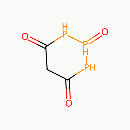 O=C1CC(=O)P[PH](=O)P1